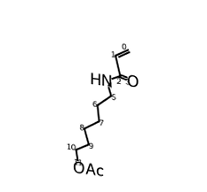 C=CC(=O)NCCCCCCOC(C)=O